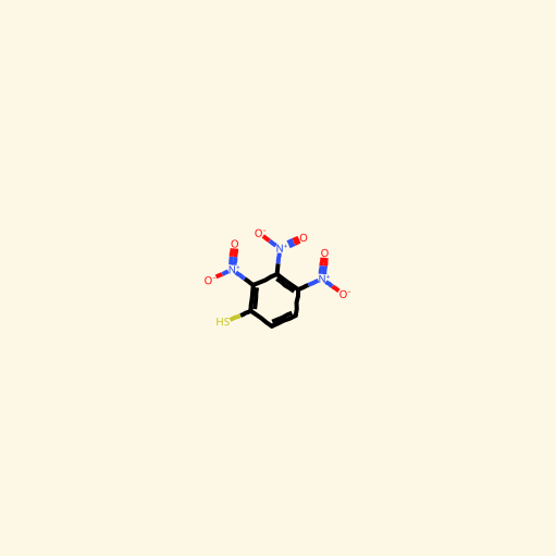 O=[N+]([O-])c1ccc(S)c([N+](=O)[O-])c1[N+](=O)[O-]